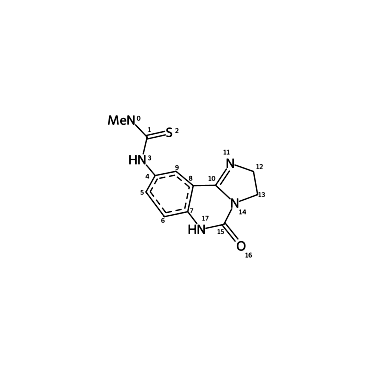 CNC(=S)Nc1ccc2c(c1)C1=NCCN1C(=O)N2